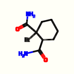 CCC1(C(N)=O)CCCCC1C(N)=O